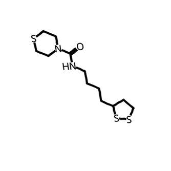 O=C(NCCCCC1CCSS1)N1CCSCC1